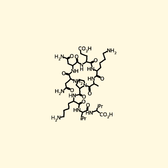 CC(NC(=O)C(CCCCN)NC(=O)C(CCC(=O)O)NC(=O)C(CC(N)=O)NC(=O)C(N)CC(N)=O)C(=O)N1CCCC1C(=O)NC(CCCCN)C(=O)NC(C(=O)NC(C(=O)O)C(C)C)C(C)C